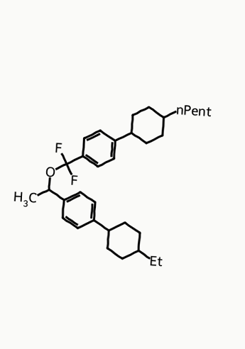 CCCCCC1CCC(c2ccc(C(F)(F)OC(C)c3ccc(C4CCC(CC)CC4)cc3)cc2)CC1